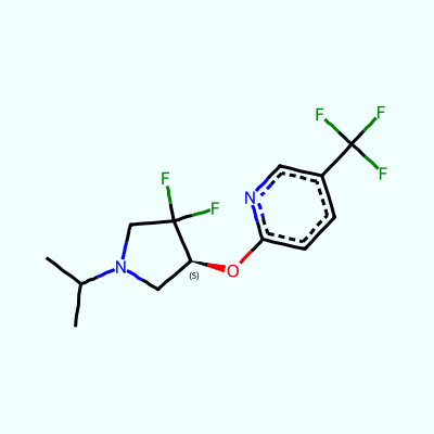 CC(C)N1C[C@H](Oc2ccc(C(F)(F)F)cn2)C(F)(F)C1